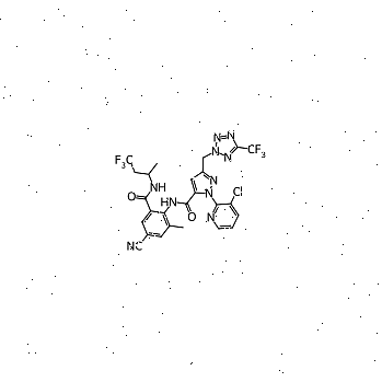 Cc1cc(C#N)cc(C(=O)NC(C)CC(F)(F)F)c1NC(=O)c1cc(Cn2nnc(C(F)(F)F)n2)nn1-c1ncccc1Cl